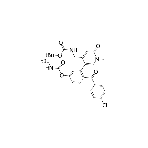 Cn1cc(-c2cc(OC(=O)NC(C)(C)C)ccc2C(=O)c2ccc(Cl)cc2)c(CNC(=O)OC(C)(C)C)cc1=O